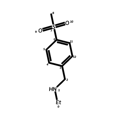 CCNCc1ccc(S(C)(=O)=O)cc1